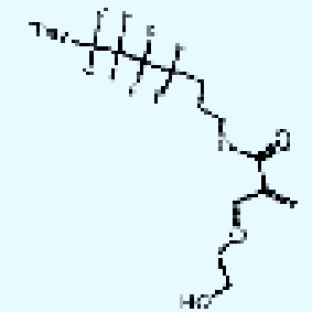 C=C(COCCO)C(=O)OCCCC(F)(F)C(F)(F)C(F)(F)C(F)(F)CCCCC